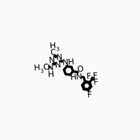 CNc1nc(C)nc(NC2CCCC(C(=O)NCc3ccc(F)cc3C(F)(F)F)C2)n1